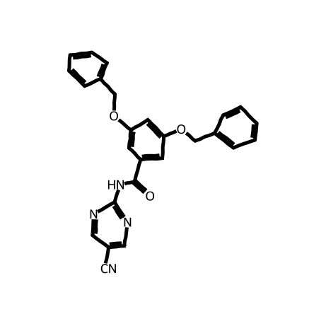 N#Cc1cnc(NC(=O)c2cc(OCc3ccccc3)cc(OCc3ccccc3)c2)nc1